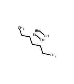 CC(C)(C)O.CCCCCCC.CCO